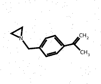 C=C(C)c1ccc(CN2CC2)cc1